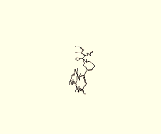 C=N/C(C(=O)N1CCCC(c2cc(C)nc3ncnn23)C1)=C(C)\C=C/C